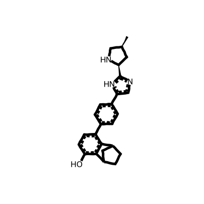 C[C@@H]1CN[C@H](c2ncc(-c3ccc(-c4ccc(O)c5c4C4CCC5C4)cc3)[nH]2)C1